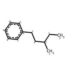 CCC(C)CCc1[c]cccc1